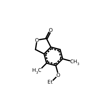 CCOc1c(C)cc2c(c1C)COC2=O